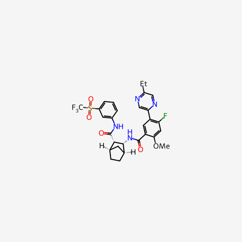 CCc1cnc(-c2cc(C(=O)N[C@@H]3[C@H]4CC[C@H](C4)[C@@H]3C(=O)Nc3cccc(S(=O)(=O)C(F)(F)F)c3)c(OC)cc2F)cn1